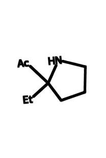 CCC1(C(C)=O)CCCN1